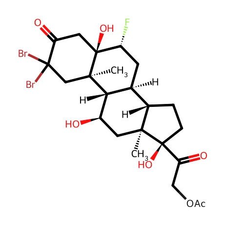 CC(=O)OCC(=O)[C@@]1(O)CC[C@H]2[C@@H]3C[C@@H](F)[C@@]4(O)CC(=O)C(Br)(Br)C[C@]4(C)[C@H]3[C@H](O)C[C@@]21C